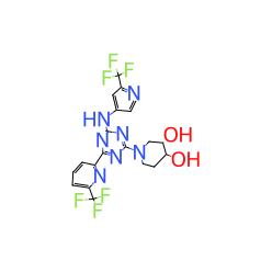 OC1CCN(c2nc(Nc3ccnc(C(F)(F)F)c3)nc(-c3cccc(C(F)(F)F)n3)n2)CC1O